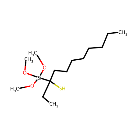 CCCCCCCCC(S)(CC)[Si](OC)(OC)OC